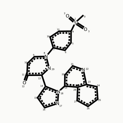 CS(=O)(=O)c1ccc(-n2ccc(=O)c(-c3ccnn3-c3ccnc4ccccc34)n2)cc1